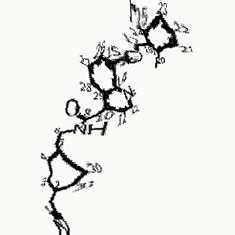 N#CC1CCC(CNC(=O)c2ccnc3c(OCc4c(F)cccc4F)cccc23)CC1